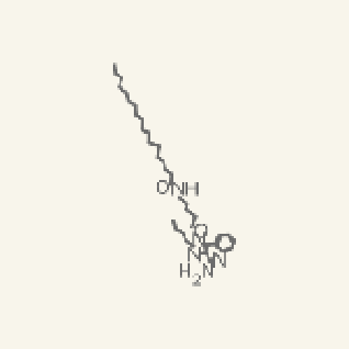 CCCCCCCCCCCCCCCCCC(=O)NCCCCCOn1c(CCCC)nc2c(N)nc3ccccc3c21